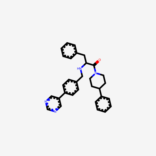 O=C(C(Cc1ccccc1)NCc1ccc(-c2cncnc2)cc1)N1CCC(c2ccccc2)CC1